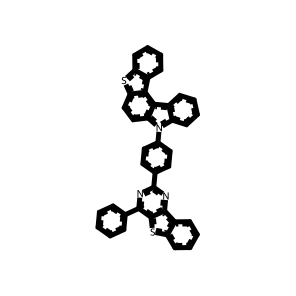 c1ccc(-c2nc(-c3ccc(-n4c5ccccc5c5c6c(ccc54)sc4ccccc46)cc3)nc3c2sc2ccccc23)cc1